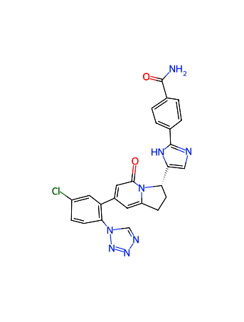 NC(=O)c1ccc(-c2ncc([C@@H]3CCc4cc(-c5cc(Cl)ccc5-n5cnnn5)cc(=O)n43)[nH]2)cc1